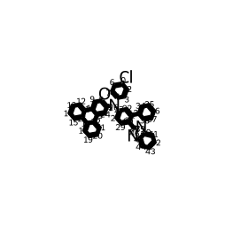 Clc1ccc2c(c1)Oc1cc3c4ccccc4c4ccccc4c3cc1N2c1ccc2c(c1)c1ccccc1n1c3ccccc3nc21